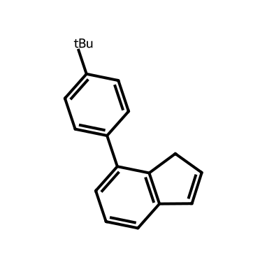 CC(C)(C)c1ccc(-c2cccc3c2CC=C3)cc1